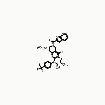 CCOn1c(N(CC)c2ccc(C(F)(F)F)cc2)nc2c(c1=O)CN(C(=O)c1cc3cccnc3s1)CC2.Cl.Cl